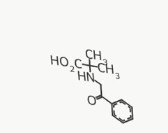 CC(C)(NCC(=O)c1ccccc1)C(=O)O